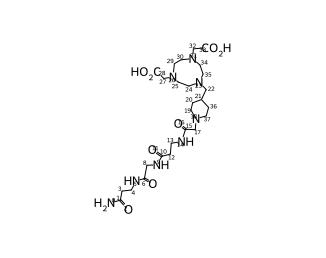 NC(=O)CCNC(=O)CNC(=O)CCNC(=O)CN1CCC(CN2CCN(CC(=O)O)CCN(CC(=O)O)CC2)CC1